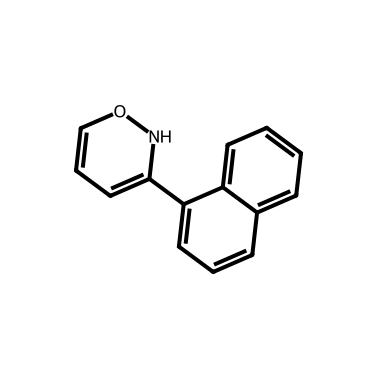 C1=CONC(c2cccc3ccccc23)=C1